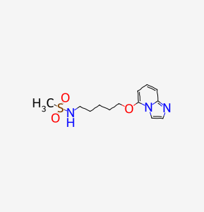 CS(=O)(=O)NCCCCCOc1cccc2nccn12